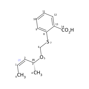 C/C=C\[C@@H](C)OCSc1ccccc1C(=O)O